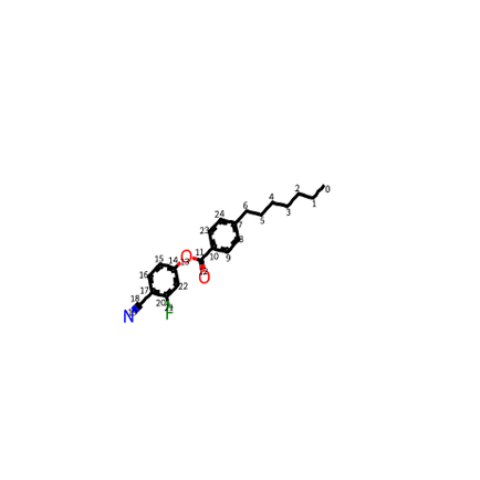 CCCCCCCc1ccc(C(=O)Oc2ccc(C#N)c(F)c2)cc1